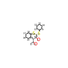 CC(=O)CC(=O)C(Sc1ccccc1)Sc1ccccc1